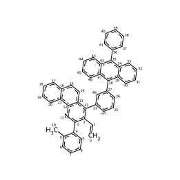 C=Cc1c(-c2ccccc2C)nc2c(ccc3ccccc32)c1-c1cccc(-c2c3ccccc3c(-c3ccccc3)c3ccccc23)c1